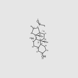 CC(=O)[C@H]1C(C)C[C@H]2[C@@H]3CCC4CC(O)CC[C@]4(C)[C@H]3CC[C@]12C